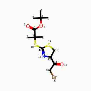 CC(C)(C)OC(=O)C(C)(C)SC1=NC(C(=O)CBr)CS1